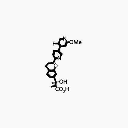 COc1cc(-c2ccc(C3CCc4ccc([C@H](O)[C@H](C)C(=O)O)cc4O3)nc2)c(F)cn1